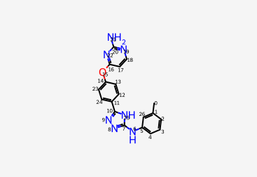 Cc1cccc(Nc2nnc(-c3ccc(Oc4ccnc(N)n4)cc3)[nH]2)c1